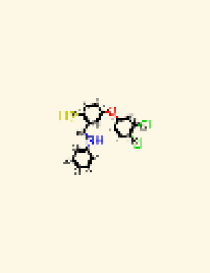 Sc1ccc(Oc2ccc(Cl)c(Cl)c2)cc1CNc1ccccc1